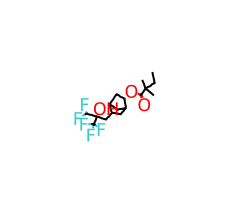 CCC(C)(C)C(=O)OC1CC2CC1CC2CC(O)(C(F)F)C(F)(F)F